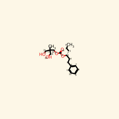 CCC[C@H](CCc1ccccc1)OC(=O)OCC(C)(CO)CO